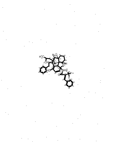 CC(C)C[N+]1(CCc2ccccc2)CC[C@]23C4C5=C(O)C=CC4(NC(=O)C(=Cc4ccccc4)C(F)(F)F)O[C@H]2CCC[C@H]3[C@H]1C5